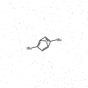 CC(C)(C)c1cc2oc1cc2C(C)(C)C